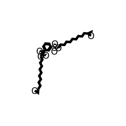 O=S(=O)(OCCCCCCCCCC1CO1)c1cccc(S(=O)(=O)OCCCCCCCCCC2CO2)c1